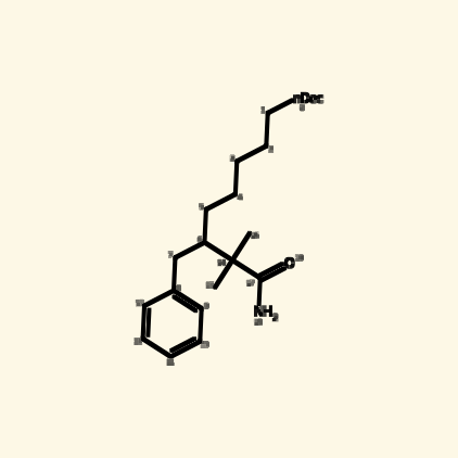 CCCCCCCCCCCCCCCC(Cc1ccccc1)C(C)(C)C(N)=O